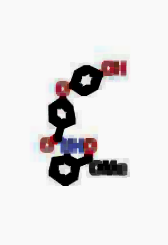 COC(=O)c1ccccc1NC(=O)c1ccc(Oc2ccc(O)cc2)cc1